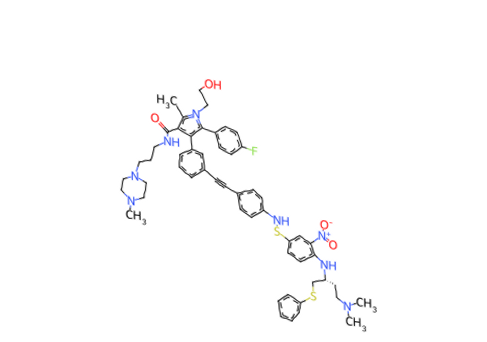 Cc1c(C(=O)NCCCN2CCN(C)CC2)c(-c2cccc(C#Cc3ccc(NSc4ccc(N[C@H](CCN(C)C)CSc5ccccc5)c([N+](=O)[O-])c4)cc3)c2)c(-c2ccc(F)cc2)n1CCO